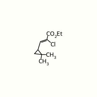 CCOC(=O)C(Cl)=CC1CC1(C)C